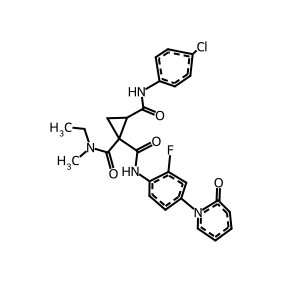 CCN(C)C(=O)C1(C(=O)Nc2ccc(-n3ccccc3=O)cc2F)CC1C(=O)Nc1ccc(Cl)cc1